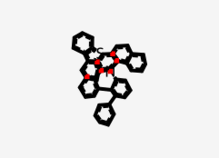 c1ccc(-c2ccccc2-c2c(-c3ccccc3)cccc2N(c2cccc3ccccc23)c2cccc3c2sc2ccccc23)cc1